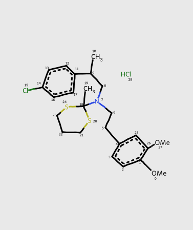 COc1ccc(CCN(CC(C)c2ccc(Cl)cc2)C2(C)SCCCS2)cc1OC.Cl